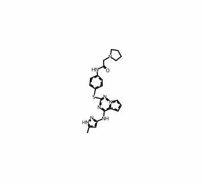 Cc1cc(Nc2nc(Sc3ccc(NC(=O)CN4CCCC4)cc3)nn3cccc23)n[nH]1